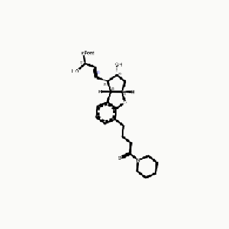 CCCCC[C@H](O)/C=C/[C@@H]1[C@H]2c3cccc(CCCC(=O)N4CCCCC4)c3O[C@H]2C[C@H]1O